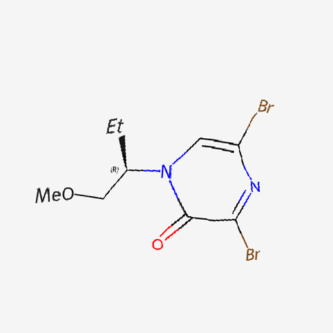 CC[C@H](COC)n1cc(Br)nc(Br)c1=O